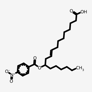 CCCCCCC(CC=CCCCCCCCC(=O)O)OC(=O)c1ccc([N+](=O)[O-])cc1